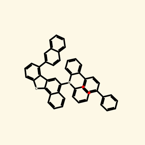 c1ccc(-c2ccc(-c3ccccc3N(c3ccccc3)c3cc4c(oc5cccc(-c6ccc7ccccc7c6)c54)c4ccccc34)cc2)cc1